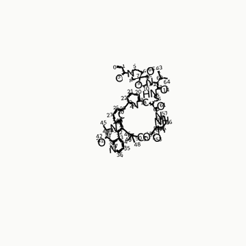 C=CC(=O)N1CC[C@]2(C1)OCN([C@H](C(=O)NSC1Cc3cccc(n3)-c3ccc4c(c3)c(c(-c3cccnc3[C@H](C)OC)n4CC)CC(C)(C)COC(=O)[C@@H]3CCCN(N3)C1=O)C(C)C)C2=O